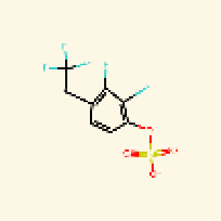 O=S(=O)(O)Oc1ccc(CC(F)(F)F)c(F)c1F